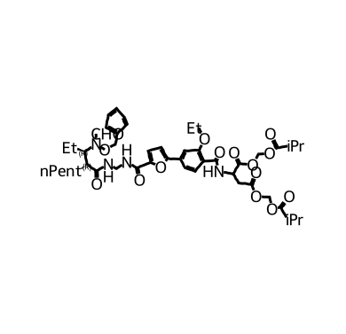 CCCCC[C@@H](C(=O)NCNC(=O)c1ccc(-c2ccc(C(=O)NC(CC(=O)OCOC(=O)C(C)C)C(=O)OCOC(=O)C(C)C)c(OCC)c2)o1)[C@@H](CC)N(C=O)OCc1ccccc1